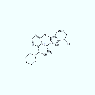 NC1=NC=NN(C(O)C2CCCCC2)/C1=C(\N)c1cc2c([nH]1)C(Cl)CC=C2